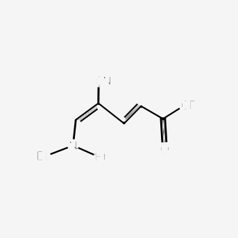 CCN(C=C(C#N)C=CC(=O)C(F)(F)F)CC